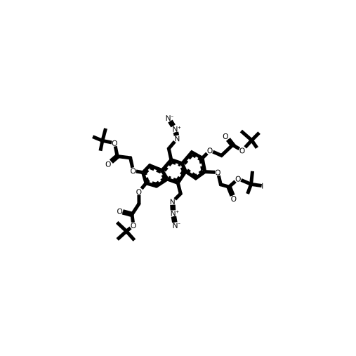 CC(C)(C)OC(=O)COc1cc2c(CN=[N+]=[N-])c3cc(OCC(=O)OC(C)(C)C)c(OCC(=O)OC(C)(C)I)cc3c(CN=[N+]=[N-])c2cc1OCC(=O)OC(C)(C)C